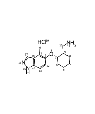 Cc1c(O[C@H]2CCCC[C@@H]2CN)ccc2[nH]ncc12.Cl